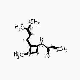 C=CC(=O)NC1CN(C)C1CC=C(C)C